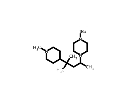 CC(CC(C)(C)C1CCN(C)CC1)N1CCN(C(C)(C)C)CC1